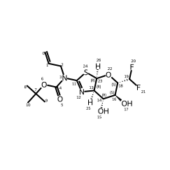 C=CCN(C(=O)OC(C)(C)C)C1=N[C@@H]2[C@@H](O)[C@H](O)[C@@H](C(F)F)O[C@@H]2S1